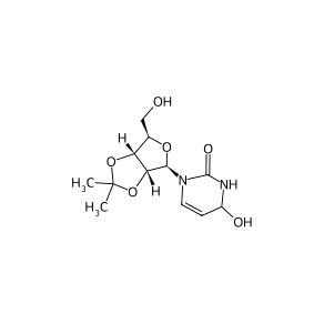 CC1(C)O[C@@H]2[C@H](O1)[C@@H](CO)O[C@H]2N1C=CC(O)NC1=O